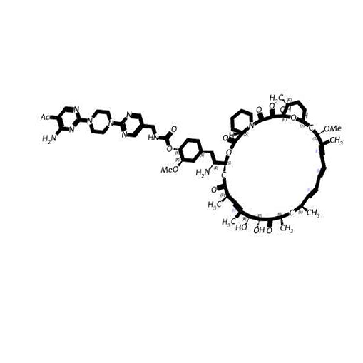 CO[C@H]1C[C@@H]2CC[C@@H](C)[C@@](O)(O2)C(=O)C(=O)N2CCCC[C@H]2C(=O)O[C@H]([C@H](N)C[C@@H]2CC[C@@H](OC(=O)NCc3cnc(N4CCN(c5ncc(C(C)=O)c(N)n5)CC4)nc3)[C@H](OC)C2)CC(=O)[C@H](C)/C=C(\C)[C@@H](O)[C@@H](O)C(=O)[C@H](C)C[C@H](C)/C=C/C=C/C=C/1C